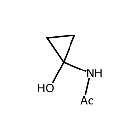 CC(=O)NC1(O)CC1